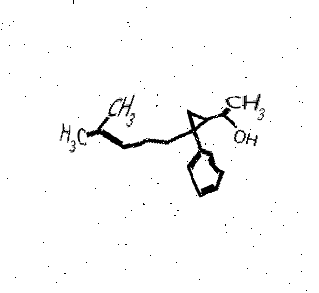 CC(C)=CCCC1(c2ccccc2)CC1C(C)O